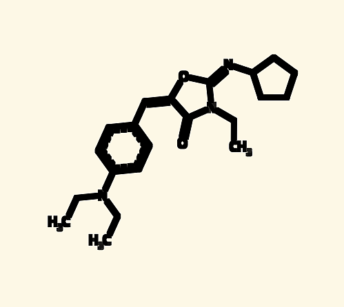 CCN1C(=O)/C(=C\c2ccc(N(CC)CC)cc2)O/C1=N/C1CCCC1